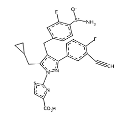 C#Cc1cc(-c2nn(-c3nc(C(=O)O)cs3)c(CC3CC3)c2Cc2ccc([S+](N)[O-])c(F)c2)ccc1F